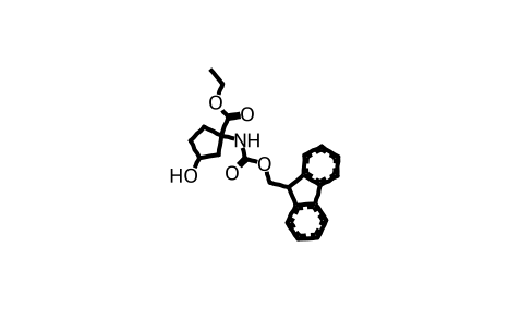 CCOC(=O)C1(NC(=O)OCC2c3ccccc3-c3ccccc32)CCC(O)C1